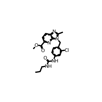 CCCNC(=O)Nc1ccc(Cn2c(C)nc3ccc(C(=O)OC)nc32)c(Cl)c1